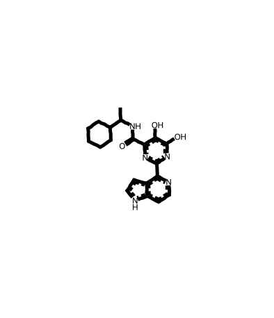 CC(NC(=O)c1nc(-c2nccc3[nH]ccc23)nc(O)c1O)C1CCCCC1